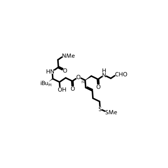 CC[C@@H](C)C(NC(=O)CNC)C(O)CC(=O)O[C@H](C=CCCSSC)CC(=O)NCC=O